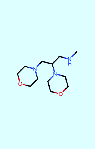 CNCC(CN1CCOCC1)N1CCOCC1